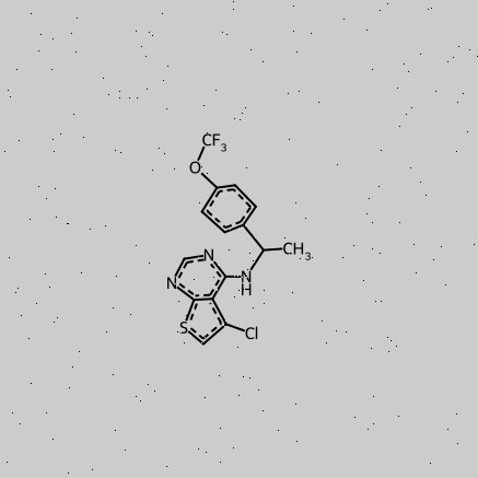 CC(Nc1ncnc2scc(Cl)c12)c1ccc(OC(F)(F)F)cc1